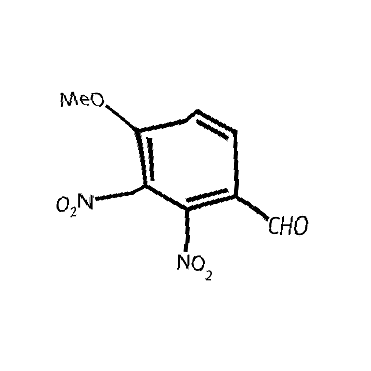 COc1ccc(C=O)c([N+](=O)[O-])c1[N+](=O)[O-]